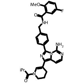 COc1ccc(F)cc1C(=O)NCc1ccc(-c2nc(C3=CN(C(=O)C(C)C)CCC3)c3ccnc(N)n23)cc1